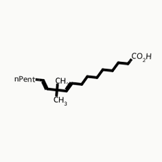 CCCCCC=CC(C)(C)C=CCCCCCCCC(=O)O